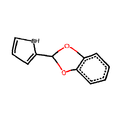 B1C=CC=C1C1Oc2ccccc2O1